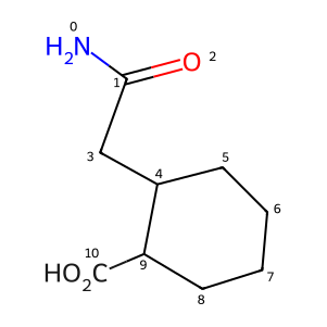 NC(=O)CC1CCCCC1C(=O)O